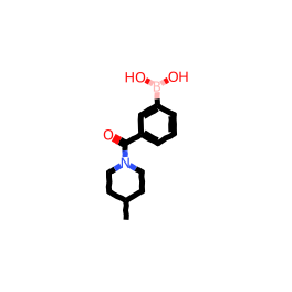 CC1CCN(C(=O)c2cccc(B(O)O)c2)CC1